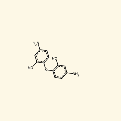 Nc1ccc(Sc2ccc(N)cc2O)c(O)c1